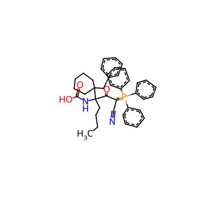 CCCCC(NC(=O)O)(C(=O)C(C#N)=P(c1ccccc1)(c1ccccc1)c1ccccc1)C1(Cc2ccccc2)CCCCC1